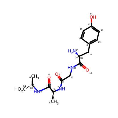 C[C@H](NC(=O)[C@H](C)NC(=O)CNC(=O)[C@@H](N)Cc1ccc(O)cc1)C(=O)O